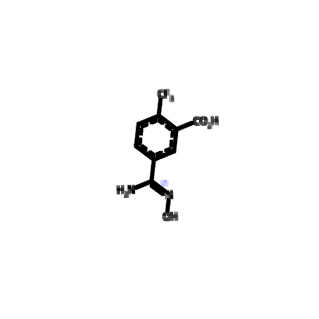 N/C(=N\O)c1ccc(C(F)(F)F)c(C(=O)O)c1